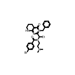 CCC(c1nc2c(c(=O)n1Cc1ccccc1)CCCN2)N(CCN(C)C)C(=O)c1ccc(Br)cc1